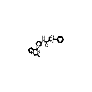 Cc1cn2cccc2c(N2CC[C@H](NC(=O)c3coc(-c4ccccc4)n3)C2)n1